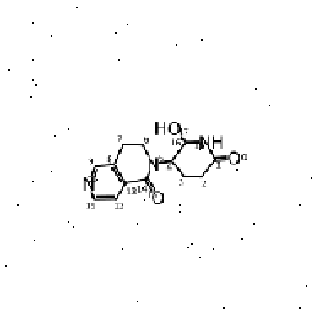 O=C1CCC(N2CCc3cnccc3C2=O)C(O)N1